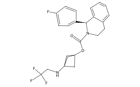 O=C(OC12CC(NCC(F)(F)F)(C1)C2)N1CCc2ccccc2[C@@H]1c1ccc(F)cc1